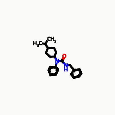 CC(C)C1CCC(N(C(=O)NCc2ccccc2)c2ccccc2)CC1